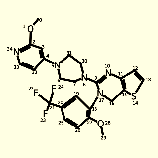 COc1cc(N2CCN(C3=Nc4ccsc4CN3c3cc(C(F)(F)F)ccc3OC)CC2)ccn1